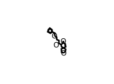 O=C1C=CC2(CCOCC2)CC1C(=O)CCCOCc1ccccc1